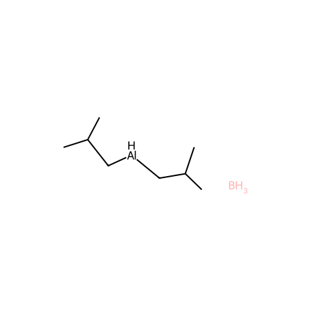 B.CC(C)[CH2][AlH][CH2]C(C)C